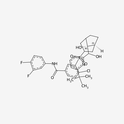 CC(C)(C)c1cccc(C(O)[C@@]2(O)C3CC[C@H]2CC(S(=O)(=O)c2cc(C(=O)Nc4ccc(F)c(F)c4)ccc2Cl)C3)n1